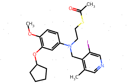 COc1ccc(N(CCSC(C)=O)Cc2c(C)cncc2I)cc1OC1CCCC1